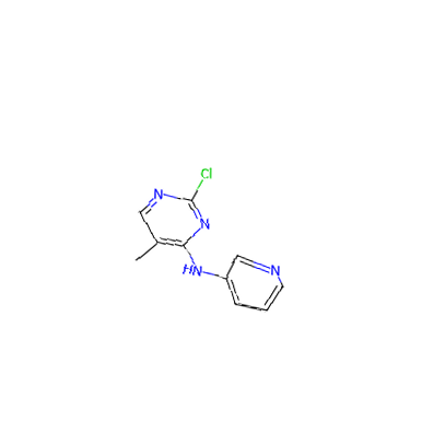 Cc1cnc(Cl)nc1Nc1cccnc1